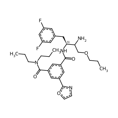 CCCOCC(N)[C@H](Cc1cc(F)cc(F)c1)NC(=O)c1cc(C(=O)N(CCC)CCC)cc(-c2ncco2)c1